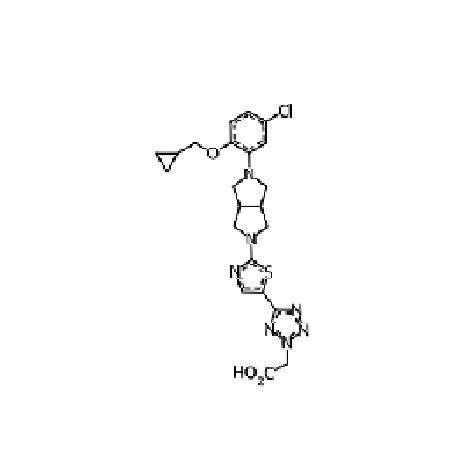 O=C(O)Cn1nnc(-c2cnc(N3CC4CN(c5cc(Cl)ccc5OCC5CC5)CC4C3)s2)n1